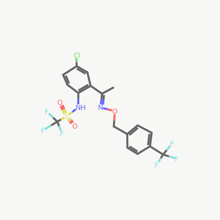 C/C(=N\OCc1ccc(C(F)(F)F)cc1)c1cc(Cl)ccc1NS(=O)(=O)C(F)(F)F